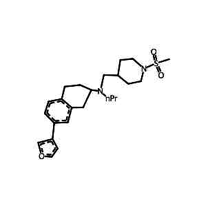 CCCN(CC1CCN(S(C)(=O)=O)CC1)C1CCc2ccc(-c3ccoc3)cc2C1